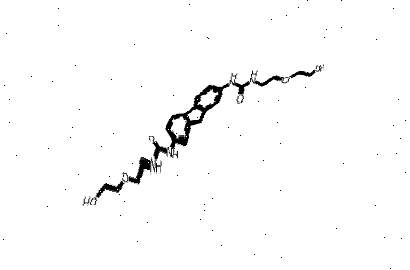 O=C(NCCOCCO)Nc1ccc2c(c1)Cc1cc(NC(=O)NCCOCCO)ccc1-2